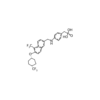 O=P(O)(O)Cc1ccc(NCc2ccc3c(C(F)(F)F)c(O[C@H]4CC[C@@H](C(F)(F)F)CC4)ccc3c2)cc1